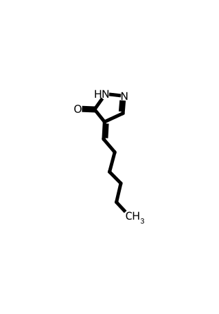 CCCCC/C=C1\C=NNC1=O